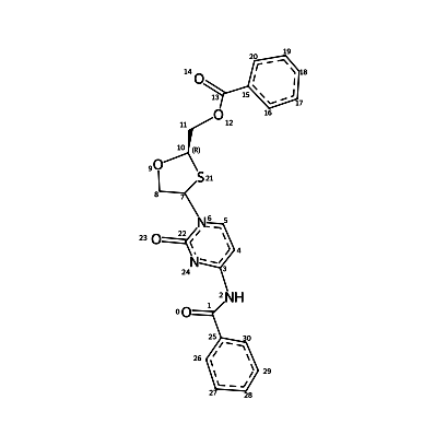 O=C(Nc1ccn(C2CO[C@@H](COC(=O)c3ccccc3)S2)c(=O)n1)c1ccccc1